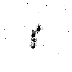 O=C(Nc1ccc(-n2cnc3c(NC(=O)[C@@H]4CCCN4)ncnc32)cc1)Nc1ccc(Cl)c(C(F)(F)F)c1